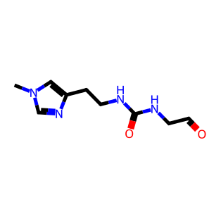 Cn1cnc(CCNC(=O)NCC=O)c1